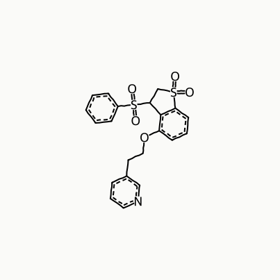 O=S1(=O)CC(S(=O)(=O)c2ccccc2)c2c(OCCc3cccnc3)cccc21